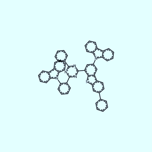 c1ccc(-c2ccc3c(c2)sc2c(-c4nc(-c5ccccc5)nc(-c5ccccc5-n5c6ccccc6c6ccccc65)n4)cc(-n4c5ccccc5c5ccccc54)cc23)cc1